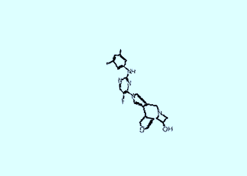 Cc1cc(C)cc(Nc2ncc(F)c(-n3cc(CN4CC(O)C4)c(C4C=COC4)c3)n2)c1